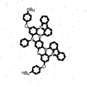 CCCCc1ccc(Oc2cc3c4c(c2)-n2c5ccccc5c5cccc(c52)B4c2cc4c(cc2S3)N(c2ccccc2)c2cc(Oc3ccc(CCCC)cc3)cc3c2B4c2cccc4c5ccccc5n-3c24)cc1